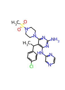 CC(c1ccc(Cl)cc1)c1c(Nc2cnccn2)nc(N)nc1N1CCN(S(C)(=O)=O)CC1